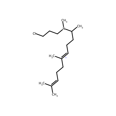 CC(C)=CCC/C(C)=C/CCC(C)N(C)CCCCl